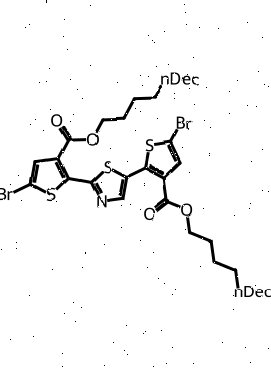 CCCCCCCCCCCCCCOC(=O)c1cc(Br)sc1-c1cnc(-c2sc(Br)cc2C(=O)OCCCCCCCCCCCCCC)s1